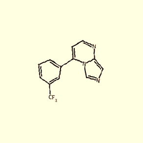 FC(F)(F)c1cccc(-c2ccnc3cncn23)c1